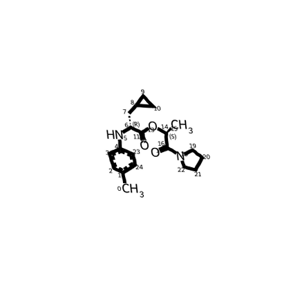 Cc1ccc(N[C@H](CC2CC2)C(=O)O[C@@H](C)C(=O)N2CCCC2)cc1